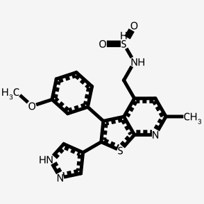 COc1cccc(-c2c(-c3cn[nH]c3)sc3nc(C)cc(CN[SH](=O)=O)c23)c1